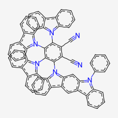 N#Cc1c(C#N)c(-n2c3ccccc3c3cc4c5ccccc5n(-c5ccccc5)c4cc32)c(-n2c3ccccc3c3ccccc32)c(-n2c3ccccc3c3ccccc32)c1-n1c2ccccc2c2ccccc21